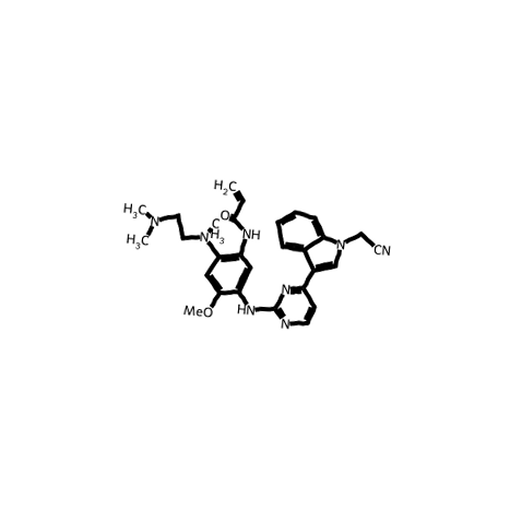 C=CC(=O)Nc1cc(Nc2nccc(-c3cn(CC#N)c4ccccc34)n2)c(OC)cc1N(C)CCN(C)C